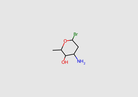 CC1OC(Br)CC(N)C1O